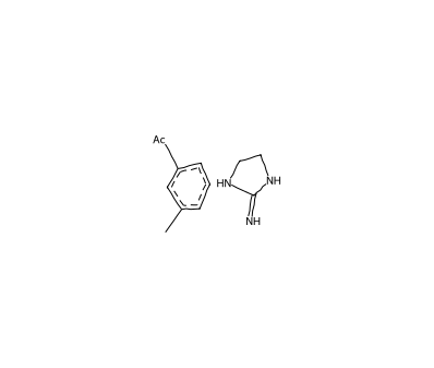 CC(=O)c1cccc(C)c1.N=C1NCCN1